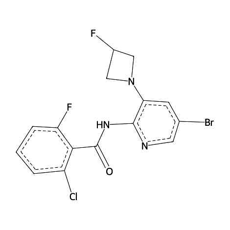 O=C(Nc1ncc(Br)cc1N1CC(F)C1)c1c(F)cccc1Cl